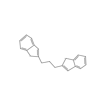 [CH]1C(CCCC2=Cc3ccccc3[CH]2)=Cc2ccccc21